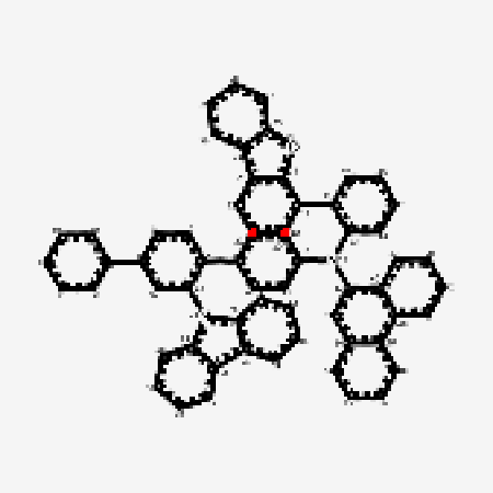 c1ccc(-c2ccc(-c3ccc(N(c4ccccc4-c4cccc5c4oc4ccccc45)c4cc5ccccc5c5ccccc45)cc3)c(-n3c4ccccc4c4ccccc43)c2)cc1